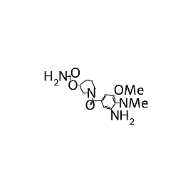 CNc1c(N)cc(C(=O)N2CCC[C@@H](OC(N)=O)C2)cc1OC